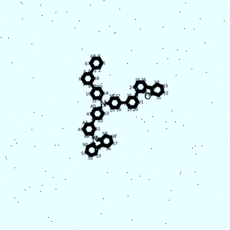 c1ccc(-c2cccc(-c3ccc(N(c4ccc(-c5cccc(-c6cccc7c6oc6ccccc67)c5)cc4)c4ccc(-c5cccc(-n6c7ccccc7c7ccccc76)c5)cc4)cc3)c2)cc1